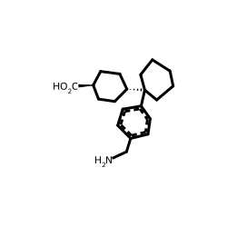 NCc1ccc(C2([C@H]3CC[C@H](C(=O)O)CC3)CCCCC2)cc1